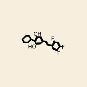 Oc1cc(C=Cc2cc(F)c(F)cc2F)cc(O)c1C1CCCCC1